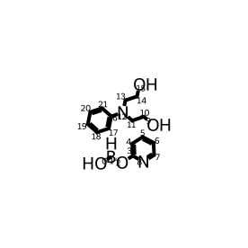 OBOc1ccccn1.OCCN(CCO)c1ccccc1